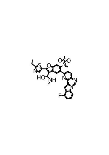 CCc1ncc(-c2oc3cc(N(C)S(C)(=O)=O)c(-c4ccc5ncn6c7cccc(F)c7cc6c5n4)cc3c2C(O)NC)s1